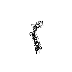 Cc1cc(Cl)ccc1OCCCC(=O)N1CCN(c2ccc([SH](=O)=O)cc2)CC1